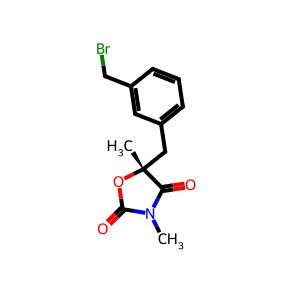 CN1C(=O)O[C@](C)(Cc2cccc(CBr)c2)C1=O